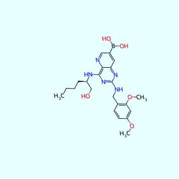 CCCC[C@H](CO)Nc1nc(NCc2ccc(OC)cc2OC)nc2cc(B(O)O)cnc12